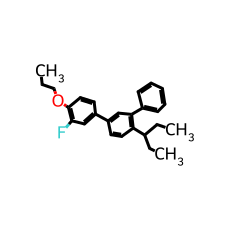 CCCOc1ccc(-c2ccc(C(CC)CC)c(-c3ccccc3)c2)cc1F